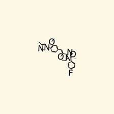 COc1cc(/C=C2\OCCN3C2=NO[C@@]3(C)c2ccc(F)cc2)ccc1-n1cnc(C)c1